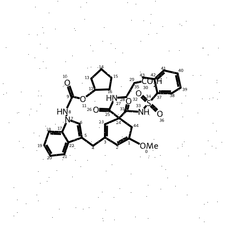 COC1=CC(Cc2cn(NC(=O)OC3CCCC3)c3ccccc23)=CC(C(=O)NCCC(=O)O)(C(=O)NS(=O)(=O)c2ccccc2C)C1